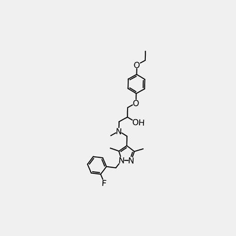 CCOc1ccc(OCC(O)CN(C)Cc2c(C)nn(Cc3ccccc3F)c2C)cc1